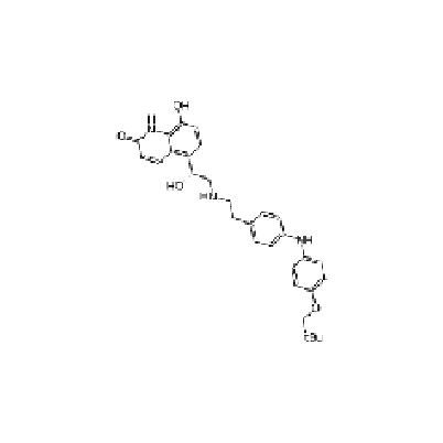 CC(C)(C)COc1ccc(Nc2ccc(CCNC[C@H](O)c3ccc(O)c4[nH]c(=O)ccc34)cc2)cc1